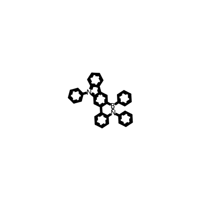 c1ccc(B2c3cc4c5ccccc5n(-c5ccccc5)c4cc3-c3ccccc3N2c2ccccc2)cc1